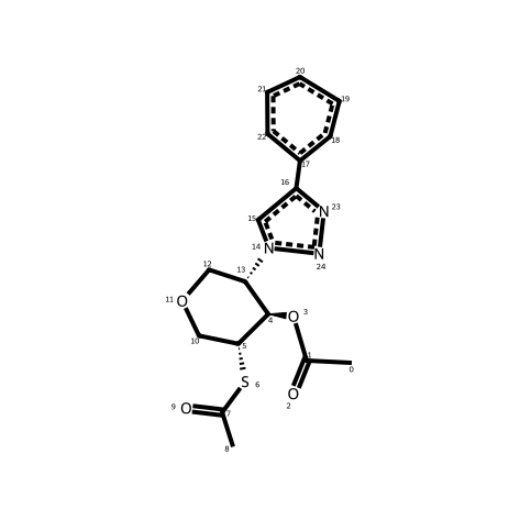 CC(=O)O[C@H]1[C@H](SC(C)=O)COC[C@@H]1n1cc(-c2ccccc2)nn1